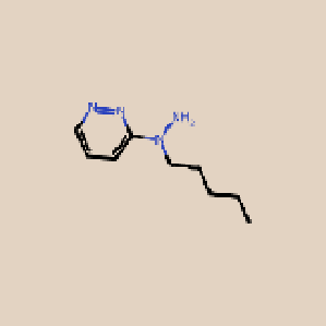 CCCCCN(N)c1cccnn1